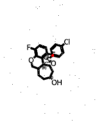 O=S(=O)(c1ccc(Cl)cc1)[C@]12CC[C@H](O)CCC1COc1c(F)ccc(F)c12